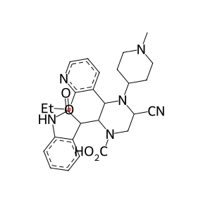 CCOc1ncccc1C1C(C2C(=O)Nc3ccccc32)N(C(=O)O)CC(C#N)N1C1CCN(C)CC1